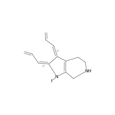 C=C/C=c1/c2c(n(I)/c1=C/C=C)CNCC2